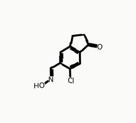 O=C1CCc2cc(/C=N/O)c(Cl)cc21